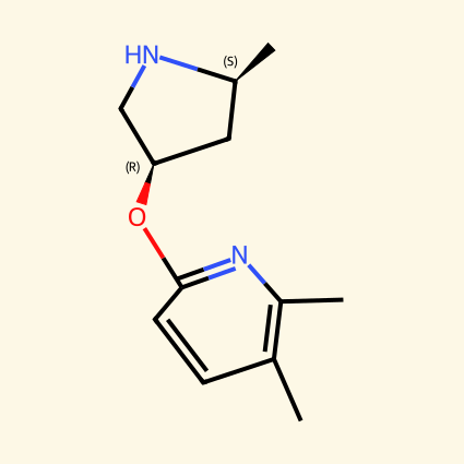 Cc1ccc(O[C@H]2CN[C@@H](C)C2)nc1C